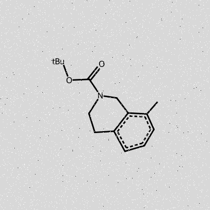 Cc1cccc2c1CN(C(=O)OC(C)(C)C)CC2